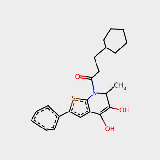 CC1C(O)=C(O)c2cc(-c3ccccc3)sc2N1C(=O)CCC1CCCCC1